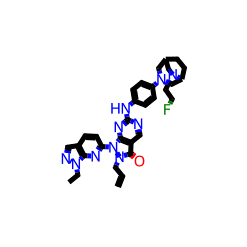 C=CCn1c(=O)c2cnc(Nc3ccc(N4CC5CCC(C4)N(CCF)C5)cc3)nc2n1-c1ccc2cnn(CC)c2n1